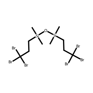 C[Si](C)(CCC(Br)(Br)Br)O[Si](C)(C)CCC(Br)(Br)Br